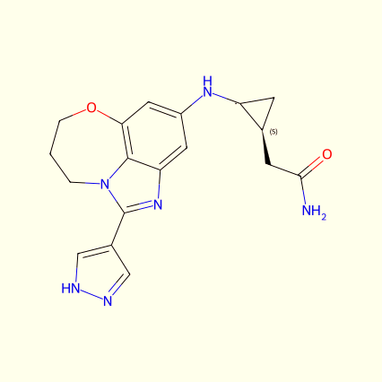 NC(=O)C[C@@H]1C[C]1Nc1cc2c3c(c1)nc(-c1cn[nH]c1)n3CCCO2